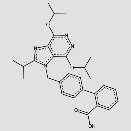 CC(C)Oc1nnc(OC(C)C)c2c1nc(C(C)C)n2Cc1ccc(-c2ccccc2C(=O)O)cc1